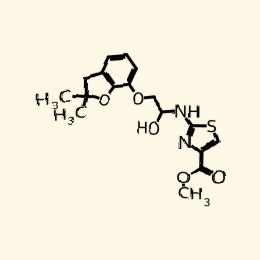 COC(=O)c1csc(NC(O)COc2cccc3c2OC(C)(C)C3)n1